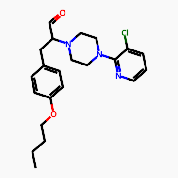 CCCCOc1ccc(CC(C=O)N2CCN(c3ncccc3Cl)CC2)cc1